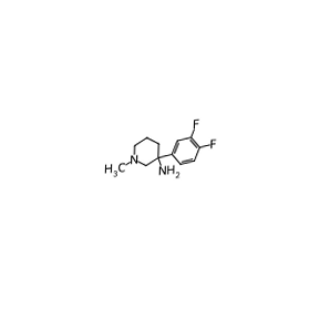 CN1CCCC(N)(c2ccc(F)c(F)c2)C1